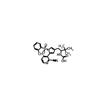 Cc1ccccc1S(=O)(=O)n1cc(CC(NC(=O)O)C(C)(C)C)cc1-c1cccnc1C#N